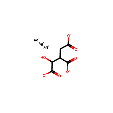 O=C([O-])CC(C(=O)[O-])C(O)C(=O)[O-].[Ag+].[Ag+].[Ag+]